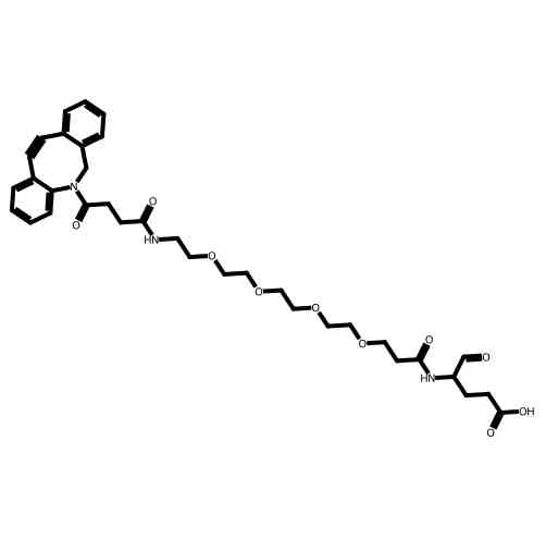 O=CC(CCC(=O)O)NC(=O)CCOCCOCCOCCOCCNC(=O)CCC(=O)N1Cc2ccccc2C#Cc2ccccc21